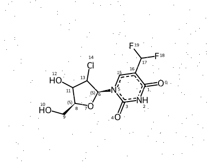 O=c1[nH]c(=O)n([C@H]2O[C@@H](CO)C(O)C2Cl)cc1C(F)F